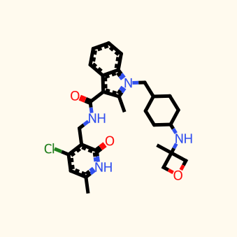 Cc1cc(Cl)c(CNC(=O)c2c(C)n(CC3CCC(NC4(C)COC4)CC3)c3ccccc23)c(=O)[nH]1